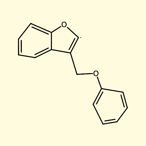 [c]1oc2ccccc2c1COc1ccccc1